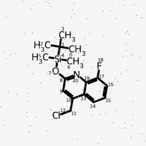 CC(C)(C)[Si](C)(C)Oc1cc(CCl)c2cccc(F)c2n1